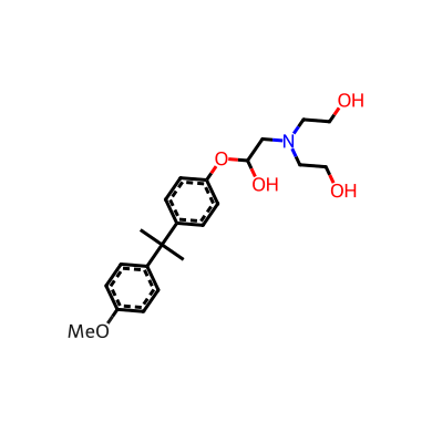 COc1ccc(C(C)(C)c2ccc(OC(O)CN(CCO)CCO)cc2)cc1